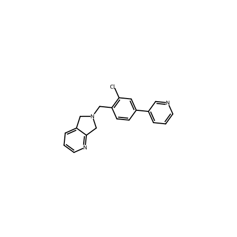 Clc1cc(-c2cccnc2)ccc1CN1Cc2cccnc2C1